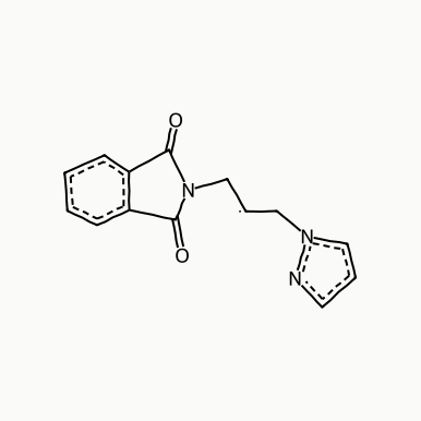 O=C1c2ccccc2C(=O)N1C[CH]Cn1cccn1